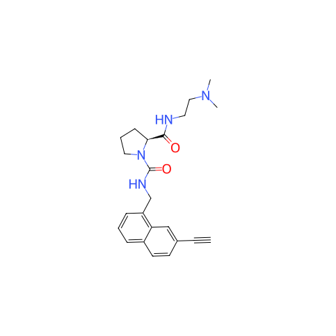 C#Cc1ccc2cccc(CNC(=O)N3CCC[C@H]3C(=O)NCCN(C)C)c2c1